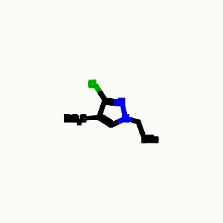 CCOC(=O)c1cn(CSC)nc1Cl